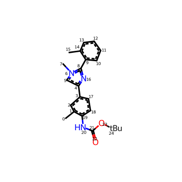 Cc1cc(-c2cn(C)c(-c3ccccc3C)n2)ccc1NC(=O)OC(C)(C)C